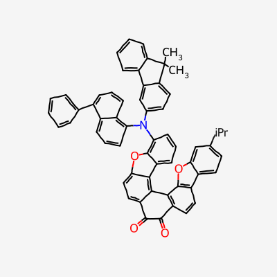 CC(C)c1ccc2c(c1)oc1c3c(ccc12)C(=O)C(=O)c1ccc2oc4c(N(c5ccc6c(c5)-c5ccccc5C6(C)C)c5cccc6c(-c7ccccc7)cccc56)cccc4c2c1-3